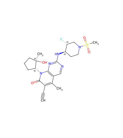 C#Cc1c(C)c2cnc(N[C@@H]3CCN(S(C)(=O)=O)C[C@H]3F)nc2n([C@@H]2CCC[C@@]2(C)O)c1=O